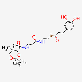 CC1(C)OCC(C)(C)[C@H](C(=O)NCCC(=O)NCCSC(=O)CCc2ccc(O)c(O)c2)O1